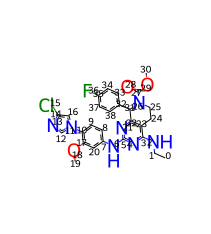 CCNc1nc(Nc2ccc(-n3cnc(Cl)c3)c(OC)c2)nc2c1CCN(C(=O)OC)C2c1ccc(F)cc1